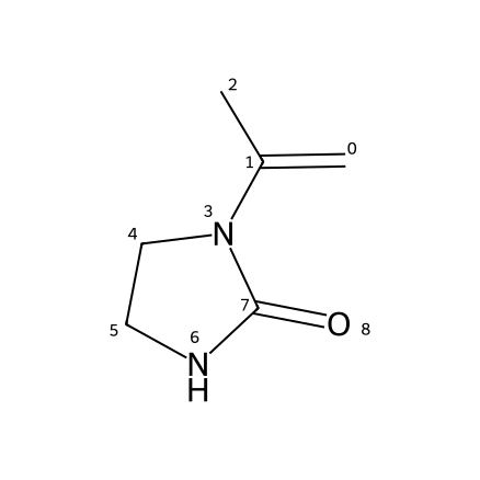 C=C(C)N1CCNC1=O